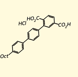 CCCCCCCCc1ccc(-c2ccc(-c3cc(C(=O)O)ccc3C(=O)O)cc2)cc1.Cl